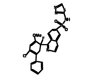 COC1=CC(Cl)=C(c2ccccc2)CC1(F)c1nccc2cc(S(=O)(=O)Nc3nncs3)ccc12